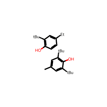 CCc1ccc(O)c(C(C)(C)C)c1.Cc1cc(C(C)(C)C)c(O)c(C(C)(C)C)c1